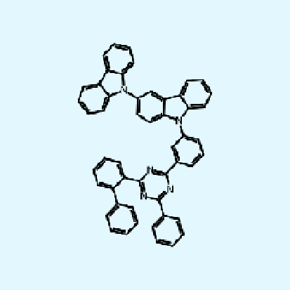 c1ccc(-c2nc(-c3cccc(-n4c5ccccc5c5cc(-n6c7ccccc7c7ccccc76)ccc54)c3)nc(-c3ccccc3-c3ccccc3)n2)cc1